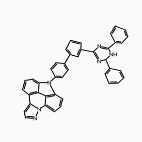 c1ccc(C2=NC(c3cccc(-c4ccc(-n5c6cccc7c6c6c5cccc6n5nccc75)cc4)c3)=NC(c3ccccc3)N2)cc1